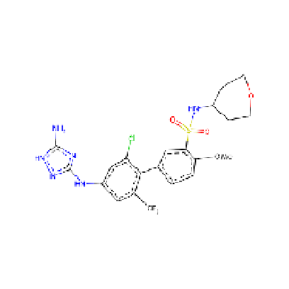 COc1ccc(-c2c(Cl)cc(Nc3n[nH]c(N)n3)cc2C(F)(F)F)cc1S(=O)(=O)NC1CCOCC1